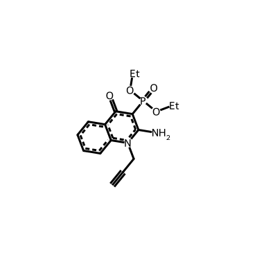 C#CCn1c(N)c(P(=O)(OCC)OCC)c(=O)c2ccccc21